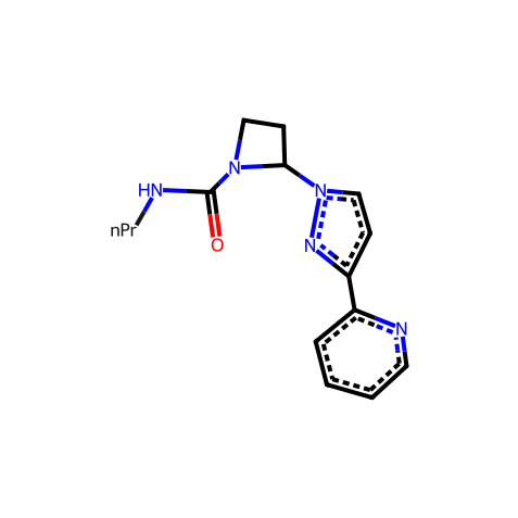 CCCNC(=O)N1CCC1n1ccc(-c2ccccn2)n1